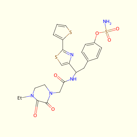 CCN1CCN(CC(=O)NC(Cc2ccc(OS(N)(=O)=O)cc2)c2csc(-c3cccs3)n2)C(=O)C1=O